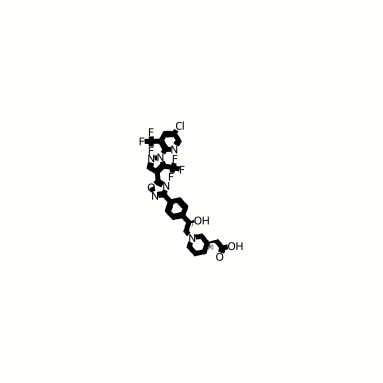 O=C(O)C[C@H]1CCCN(C[C@H](O)c2ccc(-c3noc(-c4cnn(-c5ncc(Cl)cc5C(F)(F)F)c4C(F)(F)F)n3)cc2)C1